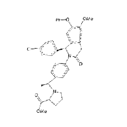 COC(=O)C1CCCN1[C@@H](C)c1ccc(N2C(=O)Cc3cc(OC)c(OC(C)C)cc3[C@@H]2c2ccc(Cl)cc2)cc1